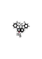 C[Si](Cl)(C1c2cc(F)ccc2-c2cccc(F)c21)C1c2cc(F)ccc2-c2cccc(F)c21.Cl.Cl.[Zr]